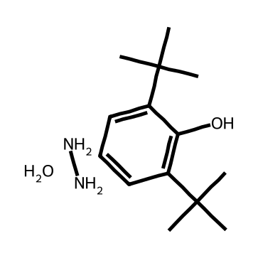 CC(C)(C)c1cccc(C(C)(C)C)c1O.NN.O